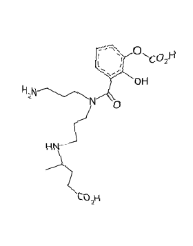 CC(CCC(=O)O)NCCCN(CCCN)C(=O)c1cccc(OC(=O)O)c1O